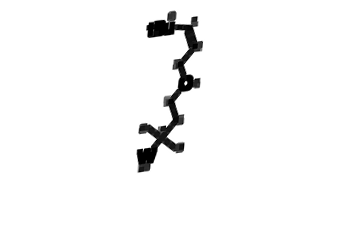 CC(C)(C)/C=C\COCC[C](C)(C)[W]